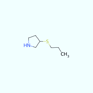 CCCSC1CCNC1